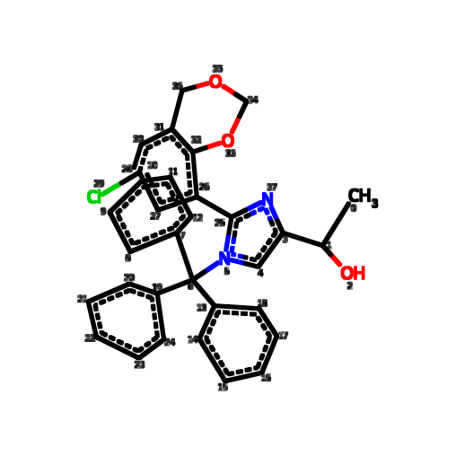 CC(O)c1cn(C(c2ccccc2)(c2ccccc2)c2ccccc2)c(-c2cc(Cl)cc3c2OCOC3)n1